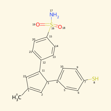 CC1=CC(c2ccc(S)cc2)C(c2ccc(S(N)(=O)=O)cc2)=C1